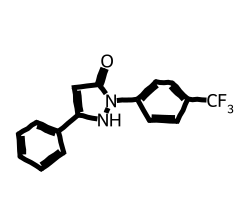 O=c1cc(-c2ccccc2)[nH]n1-c1ccc(C(F)(F)F)cc1